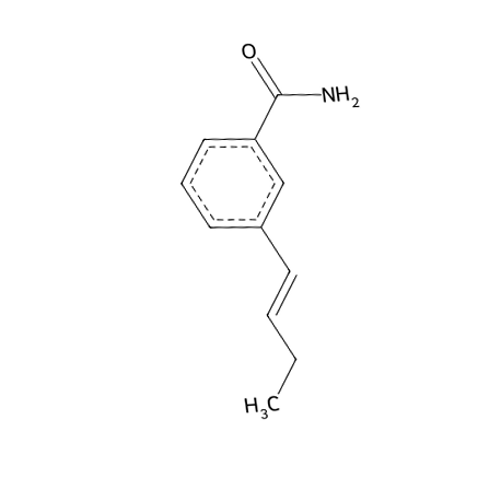 CC/C=C/c1cccc(C(N)=O)c1